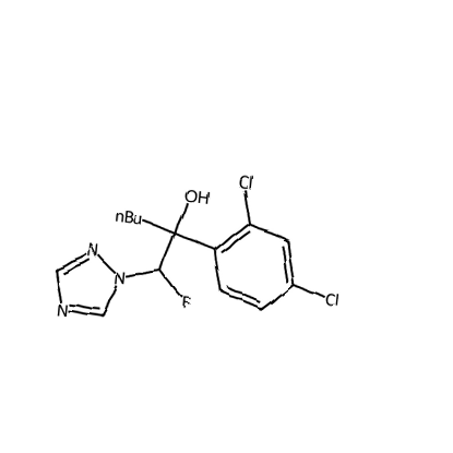 CCCCC(O)(c1ccc(Cl)cc1Cl)C(F)n1cncn1